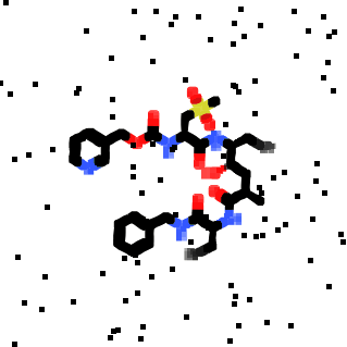 CC(C)C[C@H](NC(=O)[C@H](C)C[C@H](O)[C@H](CC(C)C)NC(=O)[C@H](CS(C)(=O)=O)NC(=O)OCc1cccnc1)C(=O)NCc1ccccc1